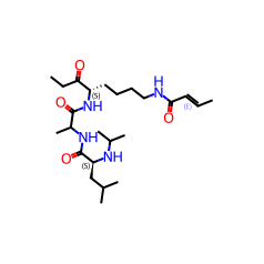 C/C=C/C(=O)NCCCC[C@H](NC(=O)C(C)NC(=O)[C@H](CC(C)C)NC(C)C)C(=O)CC